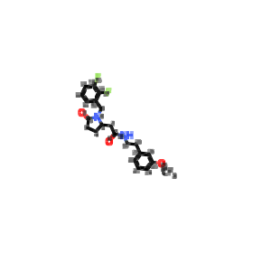 O=C(CC1CCC(=O)N1Cc1cccc(F)c1F)NCCc1cccc(OC(F)(F)F)c1